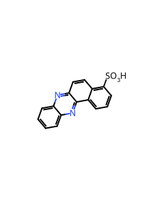 O=S(=O)(O)c1cccc2c1ccc1nc3ccccc3nc12